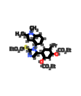 CCOC(=O)Oc1cc(OC(=O)OCC)c(C(C)C)cc1-c1cnc(SC(=O)OCC)n1-c1cccc2c1cc(C)n2C